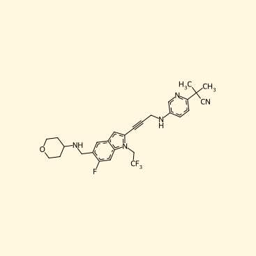 CC(C)(C#N)c1ccc(NCC#Cc2cc3cc(CNC4CCOCC4)c(F)cc3n2CC(F)(F)F)cn1